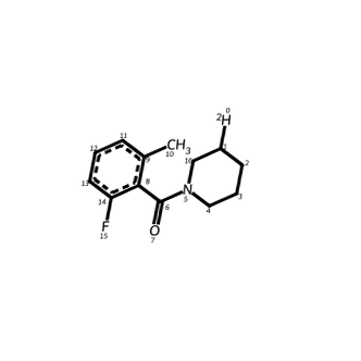 [2H]C1CCCN(C(=O)c2c(C)cccc2F)C1